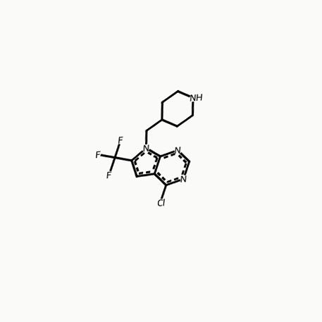 FC(F)(F)c1cc2c(Cl)ncnc2n1CC1CCNCC1